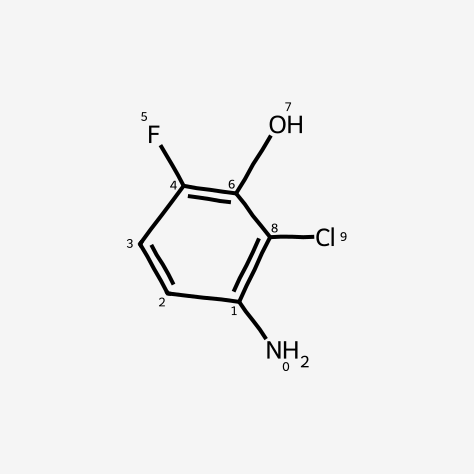 Nc1ccc(F)c(O)c1Cl